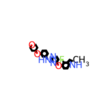 Cc1cc2c(F)c(Oc3ccnc(Nc4cccc(OC5CCOCC5)c4)n3)ccc2[nH]1